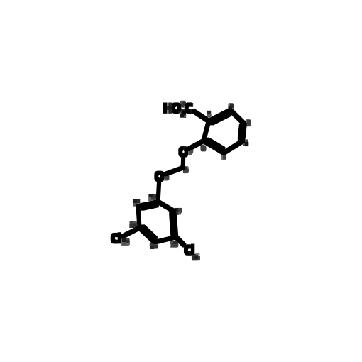 O=C(O)c1ccccc1OCOc1cc(Cl)cc(Cl)c1